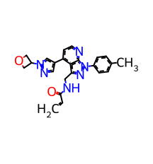 C=CC(=O)NCc1nn(-c2ccc(C)cc2)c2nccc(-c3cnn(C4COC4)c3)c12